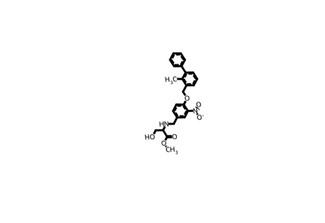 COC(=O)C(CO)NCc1ccc(OCc2cccc(-c3ccccc3)c2C)c([N+](=O)[O-])c1